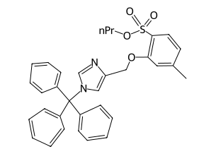 CCCOS(=O)(=O)c1ccc(C)cc1OCc1cn(C(c2ccccc2)(c2ccccc2)c2ccccc2)cn1